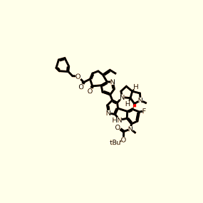 C/C=C1/CC=C(C(=O)OCc2ccccc2)C(=O)c2cc(-c3cnc4[nH]c5c(N(C)C(=O)OC(C)(C)C)cc(F)c(F)c5c4c3N3CC[C@@H]4CN(C)C[C@@H]43)cnc21